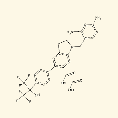 Nc1ncc(CN2CCc3cc(-c4ccc(C(O)(C(F)(F)F)C(F)(F)F)cc4)ccc32)c(N)n1.O=CO.O=CO